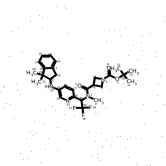 CN(C(=O)C1CN(C(=O)OC(C)(C)C)C1)C(c1ccc(NC2Cc3ccccc3C2(C)C)cn1)C(F)(F)F